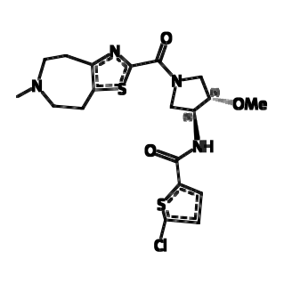 CO[C@H]1CN(C(=O)c2nc3c(s2)CCN(C)CC3)C[C@@H]1NC(=O)c1ccc(Cl)s1